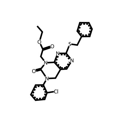 CCOC(=O)CN1C(=O)N(c2ccccc2Cl)Cc2cnc(SCc3ccccc3)nc21